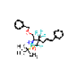 CC(C)(C)[S+]([O-])NC(COCc1ccccc1)C(C/C=C/c1ccccc1)(C(F)(F)F)C(F)(F)F